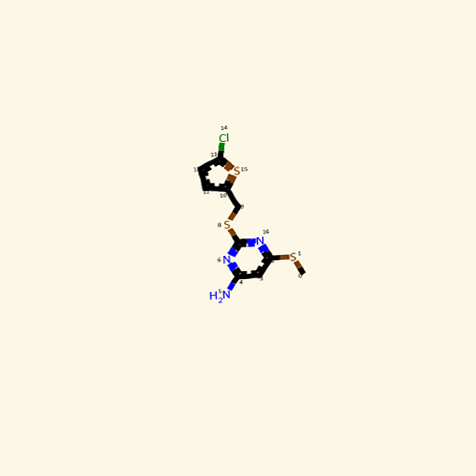 CSc1cc(N)nc(SCc2ccc(Cl)s2)n1